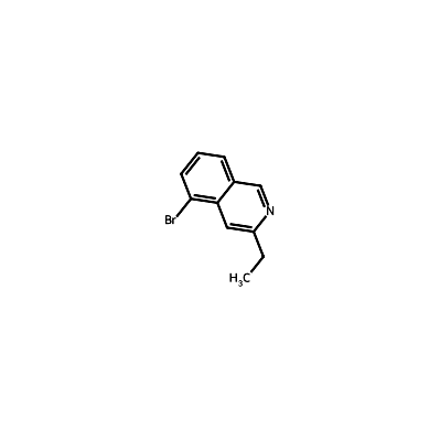 CCc1cc2c(Br)cccc2cn1